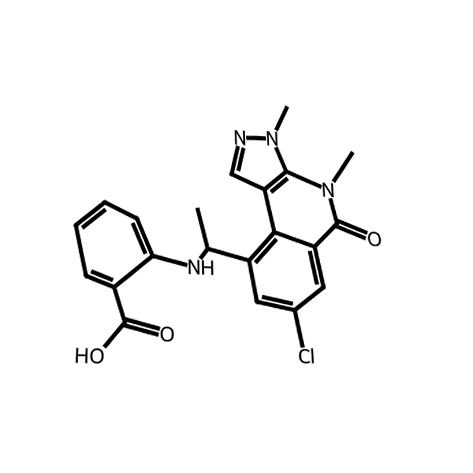 CC(Nc1ccccc1C(=O)O)c1cc(Cl)cc2c(=O)n(C)c3c(cnn3C)c12